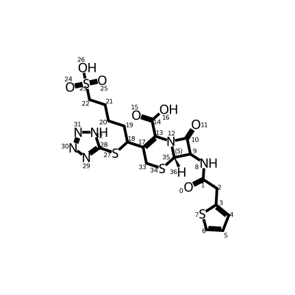 O=C(Cc1cccs1)NC1C(=O)N2C(C(=O)O)=C(C(CCCCS(=O)(=O)O)Sc3nnn[nH]3)CS[C@@H]12